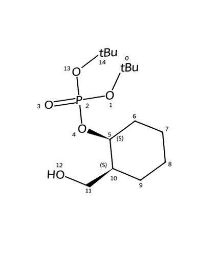 CC(C)(C)OP(=O)(O[C@H]1CCCC[C@H]1CO)OC(C)(C)C